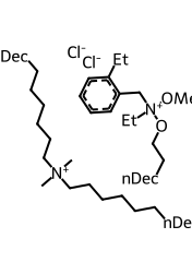 CCCCCCCCCCCCCCCC[N+](C)(C)CCCCCCCCCCCCCCCC.CCCCCCCCCCCCO[N+](CC)(Cc1ccccc1CC)OC.[Cl-].[Cl-]